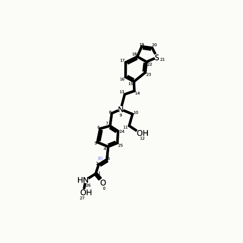 O=C(/C=C/c1ccc(CN(CCO)CCc2ccc3ccsc3c2)cc1)NO